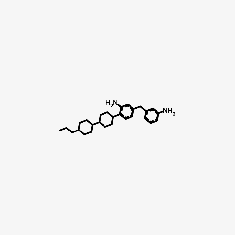 CCCC1CCC(C2CCC(c3ccc(Cc4cccc(N)c4)cc3N)CC2)CC1